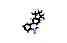 CN(C)c1ccccc1-c1ccc2c(c1)C(C)(C)C(C)(C)C2(C)C